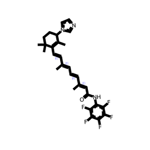 CC1=C(/C=C/C(C)=C/C=C/C(C)=C/C(=O)Nc2c(F)c(F)c(F)c(F)c2F)C(C)(C)CCC1n1ccnc1